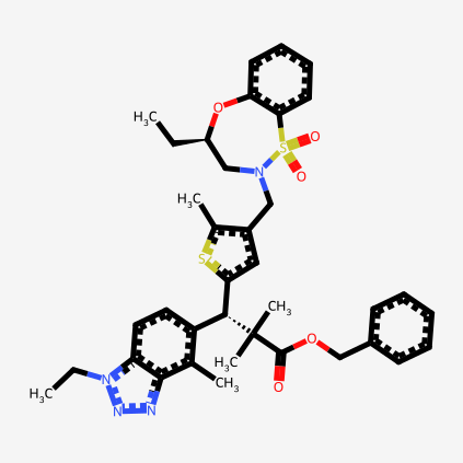 CC[C@@H]1CN(Cc2cc([C@@H](c3ccc4c(nnn4CC)c3C)C(C)(C)C(=O)OCc3ccccc3)sc2C)S(=O)(=O)c2ccccc2O1